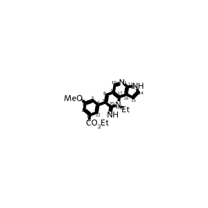 CCOC(=O)c1cc(OC)cc(-c2cc3cnc4[nH]ccc4c3n(CC)c2=N)c1